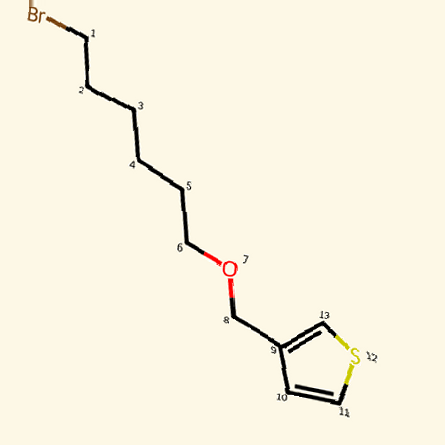 BrCCCCCCOCc1ccsc1